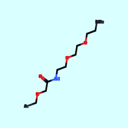 CNCCOCCOCCNC(=O)COCC(C)=O